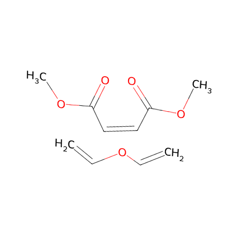 C=COC=C.COC(=O)/C=C\C(=O)OC